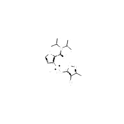 Cc1noc(NS(=O)(=O)c2ccsc2C(=O)N(C(C)C)C(C)C)c1Br